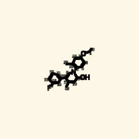 CCOc1ccc(N2C=C(c3cccc(F)c3)C(C)=CC2O)c(C)c1